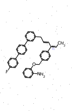 C/C=C(\C=CCc1cccc(-c2ccc(-c3ccc(F)cc3)cc2)c1)c1ccc(COc2ccccc2N)cc1